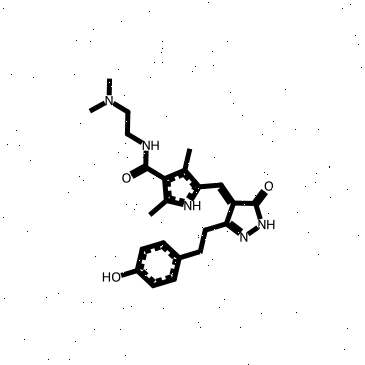 Cc1[nH]c(/C=C2/C(=O)NN=C2CCc2ccc(O)cc2)c(C)c1C(=O)NCCN(C)C